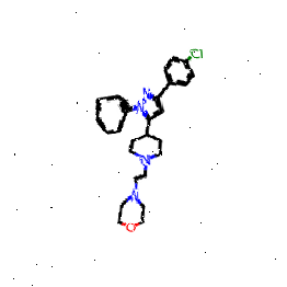 Clc1ccc(-c2cc(C3CCN(CCN4CCOCC4)CC3)n(-c3ccccc3)n2)cc1